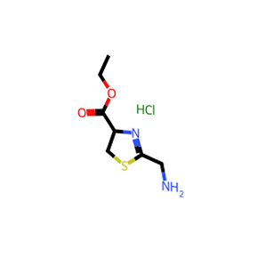 CCOC(=O)C1CSC(CN)=N1.Cl